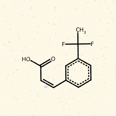 CC(F)(F)c1cccc(/C=C\C(=O)O)c1